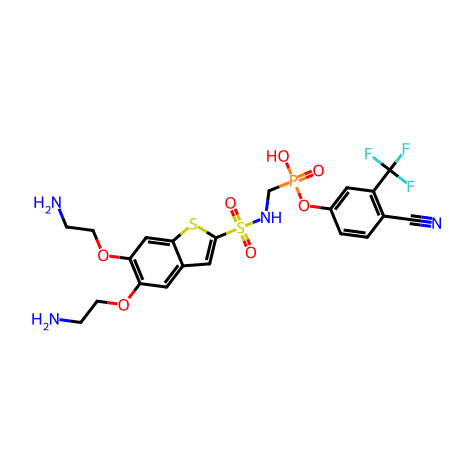 N#Cc1ccc(OP(=O)(O)CNS(=O)(=O)c2cc3cc(OCCN)c(OCCN)cc3s2)cc1C(F)(F)F